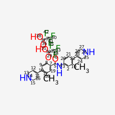 Cc1cc(NC(=O)c2ccc(C3=CCNCC3)c(C)c2)ccc1C1=CCNCC1.O=C(O)C(F)(F)F.O=C(O)C(F)(F)F